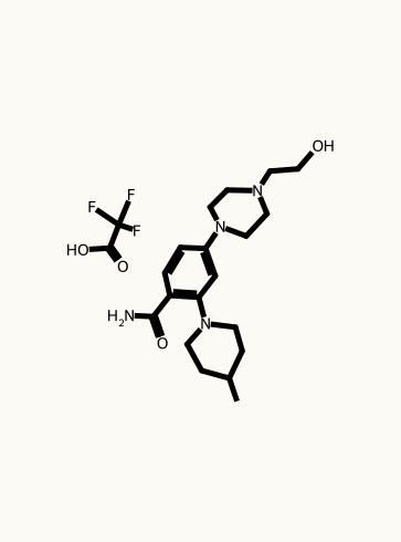 CC1CCN(c2cc(N3CCN(CCO)CC3)ccc2C(N)=O)CC1.O=C(O)C(F)(F)F